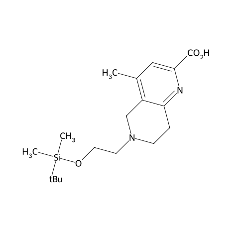 Cc1cc(C(=O)O)nc2c1CN(CCO[Si](C)(C)C(C)(C)C)CC2